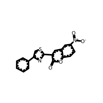 O=c1oc2ccc([N+](=O)[O-])cc2cc1-c1nc(-c2ccccc2)cs1